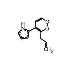 C=CCC1=C(c2ccc[nH]2)C=COO1